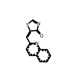 O=C1N=CSC1=Cc1ccc2ccccc2n1